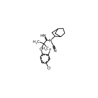 CC(C)(Oc1ccc(Cl)cc1F)C(=N)N(C#N)C1CC2CCC1C2